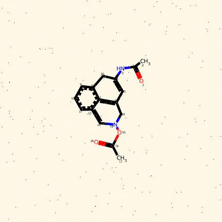 CC(=O)NC1=CC2=c3c(cccc3=CN(OC(C)=O)C2)C1